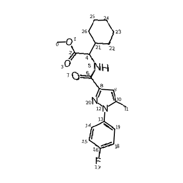 COC(=O)C(NC(=O)c1cc(C)n(-c2ccc(F)cc2)n1)C1CCCCC1